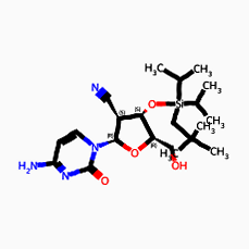 CC(C)[Si](CC(C)(C)C)(O[C@H]1[C@H](C#N)[C@H](n2ccc(N)nc2=O)O[C@@H]1CO)C(C)C